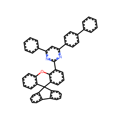 c1ccc(-c2ccc(-c3cc(-c4ccccc4)nc(-c4cccc5c4Oc4ccccc4C54c5ccccc5-c5ccccc54)n3)cc2)cc1